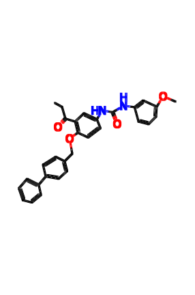 CCC(=O)c1cc(NC(=O)Nc2cccc(OC)c2)ccc1OCc1ccc(-c2ccccc2)cc1